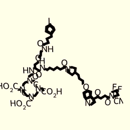 N#C[C@H]1CC(F)(F)CN1C(=O)CCC(=O)c1ccnc2ccc(OCCCCC3CCN(C(=O)CCCCCNC(=O)C(CCOCCNC(=O)CCCc4ccc(I)cc4)NC(=O)CN4CCN(CC(=O)O)CCN(CC(=O)O)CCN(CC(=O)O)CC4)CC3)cc12